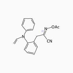 C=CN(c1ccccc1)c1ccccc1C/C(C#N)=N/OC(C)=O